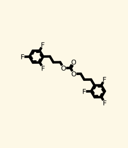 O=C(OCCCc1c(F)cc(F)cc1F)OCCCc1c(F)cc(F)cc1F